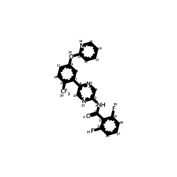 O=C(Nc1cnc(-c2cc(Oc3ccccn3)ccc2C(F)(F)F)cn1)c1c(F)cccc1F